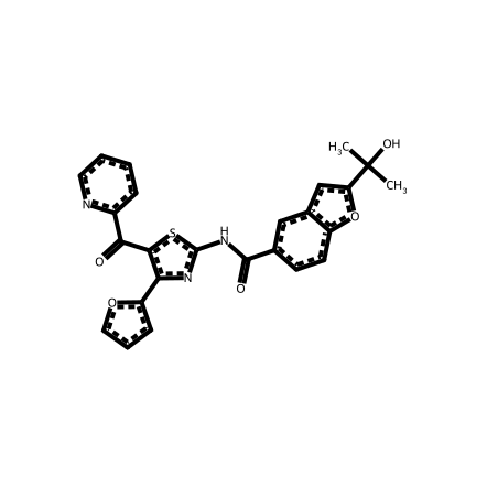 CC(C)(O)c1cc2cc(C(=O)Nc3nc(-c4ccco4)c(C(=O)c4ccccn4)s3)ccc2o1